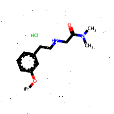 CC(C)Oc1cccc(CCNCC(=O)N(C)C)c1.Cl